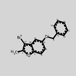 Cc1oc2ccc(OCc3ccccc3)cc2c1Br